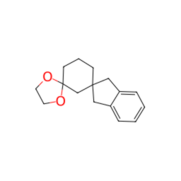 c1ccc2c(c1)CC1(CCCC3(C1)OCCO3)C2